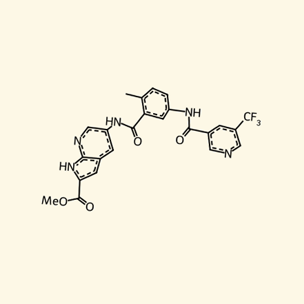 COC(=O)c1cc2cc(NC(=O)c3cc(NC(=O)c4cncc(C(F)(F)F)c4)ccc3C)cnc2[nH]1